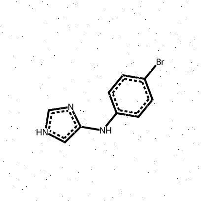 Brc1ccc(Nc2c[nH]cn2)cc1